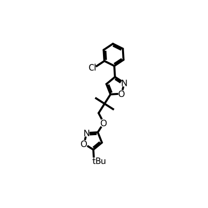 CC(C)(C)c1cc(OCC(C)(C)c2cc(-c3ccccc3Cl)no2)no1